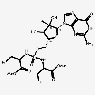 COC(=O)C(CC(C)C)NP(=O)(NC(CC(C)C)C(=O)OC)OC[C@H]1O[C@@H](n2cnc3c(=O)[nH]c(N)nc32)[C@@](C)(O)C1O